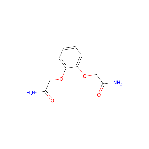 NC(=O)COc1ccccc1OCC(N)=O